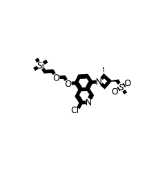 C[C@@H]1[C@@H](CS(C)(=O)=O)CN1c1ccc(OCOCC[Si](C)(C)C)c2cc(Cl)ncc12